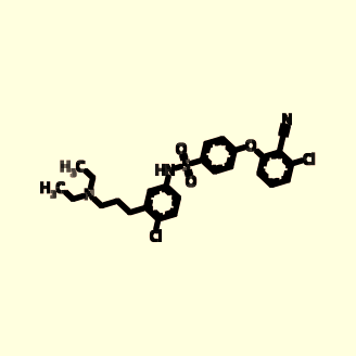 CCN(CC)CCCc1cc(NS(=O)(=O)c2ccc(Oc3cccc(Cl)c3C#N)cc2)ccc1Cl